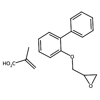 C=C(C)C(=O)O.c1ccc(-c2ccccc2OCC2CO2)cc1